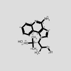 CCO[C@@H](C)[C@@H](n1cnc2c(N)nc3ccccc3c21)C(C)(C)O.Cl